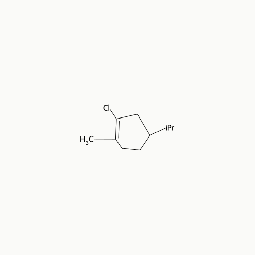 CC1=C(Cl)CC(C(C)C)CC1